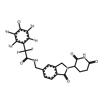 [2H]c1c([2H])c(C(F)(F)C(=O)NCc2ccc3c(c2)CN(C2CCC(=O)NC2=O)C3=O)c([2H])c([2H])c1Cl